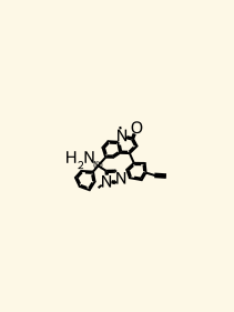 C#Cc1cccc(-c2cc(=O)n(C)c3ccc([C@](N)(c4ccccc4)c4cncn4C)cc23)c1